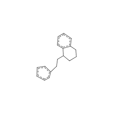 c1ccc(CCC2CCCc3ccccc32)cc1